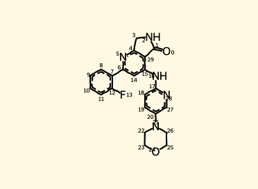 O=C1NCc2nc(-c3ccccc3F)cc(Nc3ccc(N4CCOCC4)cn3)c21